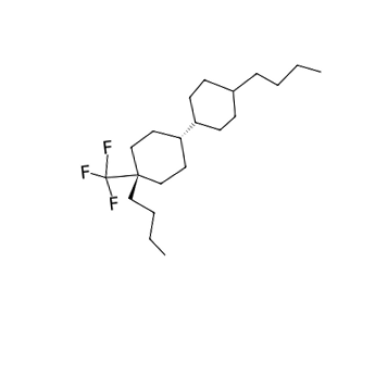 CCCCC1CCC([C@H]2CC[C@@](CCCC)(C(F)(F)F)CC2)CC1